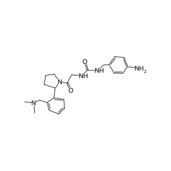 CN(C)Cc1ccccc1C1CCCN1C(=O)CNC(=O)NCc1ccc(N)cc1